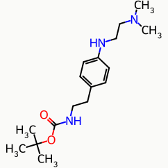 CN(C)CCNc1ccc(CCNC(=O)OC(C)(C)C)cc1